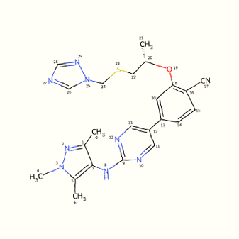 Cc1nn(C)c(C)c1Nc1ncc(-c2ccc(C#N)c(O[C@@H](C)CSCn3cncn3)c2)cn1